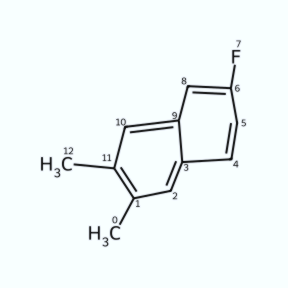 Cc1cc2ccc(F)cc2cc1C